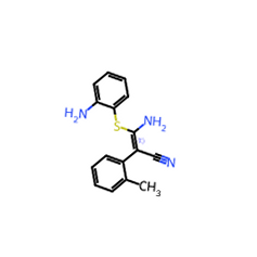 Cc1ccccc1/C(C#N)=C(/N)Sc1ccccc1N